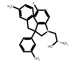 Cc1cccc(CC2(c3cccc(C)c3)CN(C[C@@H](O)C(F)(F)F)c3ccc(F)cc32)c1